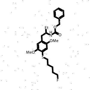 CCC(Cc1cc(OC)c(SCCCCCF)cc1OC)NC(=O)OCc1ccccc1